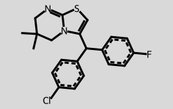 CC1(C)CN=C2SC=C(C(c3ccc(F)cc3)c3ccc(Cl)cc3)N2C1